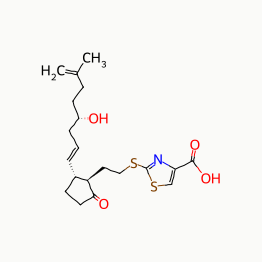 C=C(C)CC[C@H](O)CC=C[C@H]1CCC(=O)[C@@H]1CCSc1nc(C(=O)O)cs1